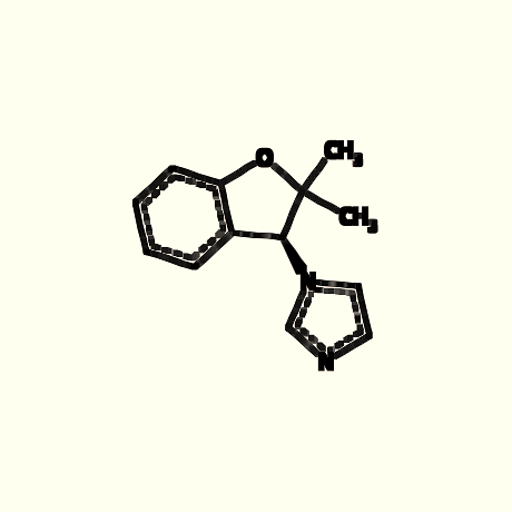 CC1(C)Oc2ccccc2[C@@H]1n1ccnc1